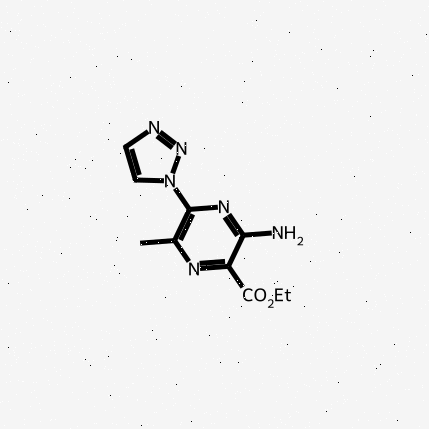 CCOC(=O)c1nc(C)c(-n2ccnn2)nc1N